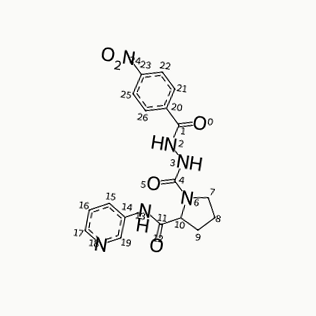 O=C(NNC(=O)N1CCCC1C(=O)Nc1cccnc1)c1ccc([N+](=O)[O-])cc1